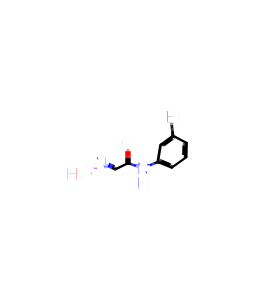 CCc1cccc(NC(=O)C=NO)c1